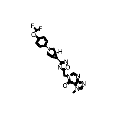 Cn1cnc2ncn(Cc3nc([C@H]4C5=CN(c6ccc(OC(F)F)cc6)C[C@@H]54)no3)c(=O)c21